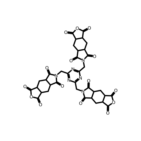 O=C1OC(=O)C2CC3C(=O)N(Cc4nc(CN5C(=O)C6CC7C(=O)OC(=O)C7CC6C5=O)nc(CN5C(=O)C6CC7C(=O)OC(=O)C7CC6C5=O)n4)C(=O)C3CC12